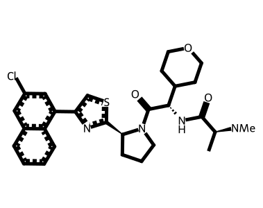 CN[C@@H](C)C(=O)N[C@H](C(=O)N1CCC[C@H]1c1nc(-c2cc(Cl)cc3ccccc23)cs1)C1CCOCC1